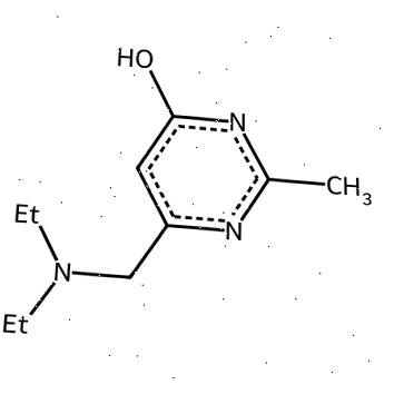 CCN(CC)Cc1cc(O)nc(C)n1